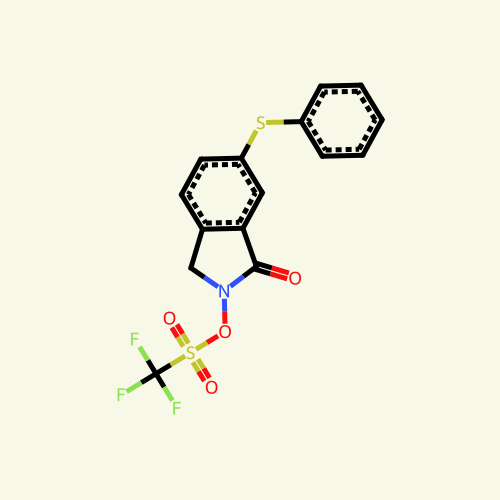 O=C1c2cc(Sc3ccccc3)ccc2CN1OS(=O)(=O)C(F)(F)F